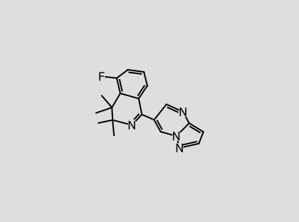 CC1(C)N=C(c2cnc3ccnn3c2)c2cccc(F)c2C1(C)C